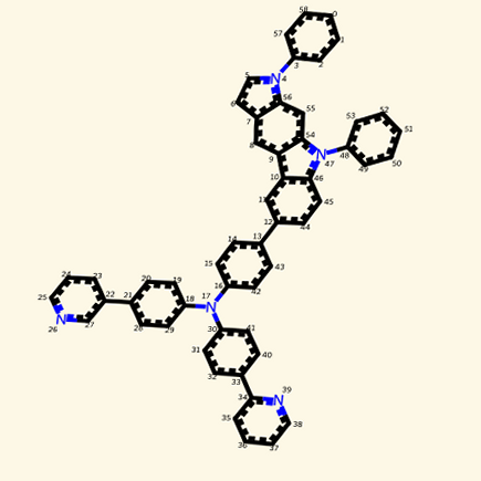 c1ccc(-n2ccc3cc4c5cc(-c6ccc(N(c7ccc(-c8cccnc8)cc7)c7ccc(-c8ccccn8)cc7)cc6)ccc5n(-c5ccccc5)c4cc32)cc1